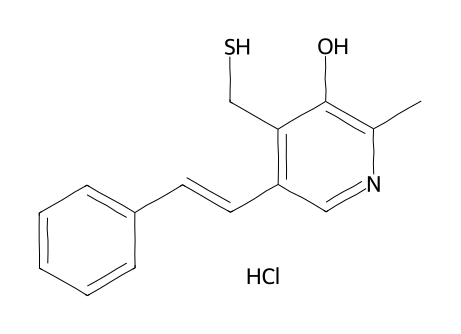 Cc1ncc(C=Cc2ccccc2)c(CS)c1O.Cl